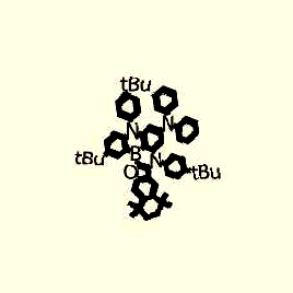 CC(C)(C)c1ccc(N2c3ccc(C(C)(C)C)cc3B3c4oc5cc6c(cc5c4N(c4ccc(C(C)(C)C)cc4)c4cc(N(c5ccccc5)c5ccccc5)cc2c43)C(C)(C)CCC6(C)C)cc1